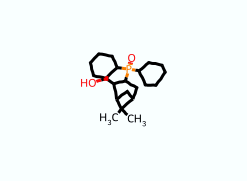 CC1(C)C2CC1C(CO)C(P(=O)(C1CCCCC1)C1CCCCC1)C2